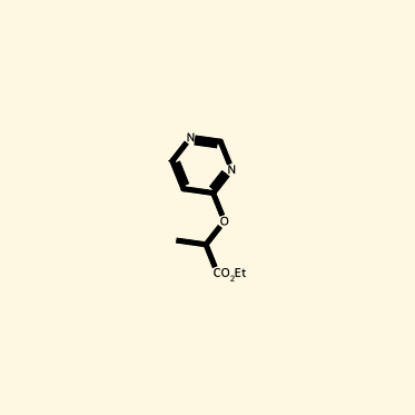 CCOC(=O)C(C)Oc1c[c]ncn1